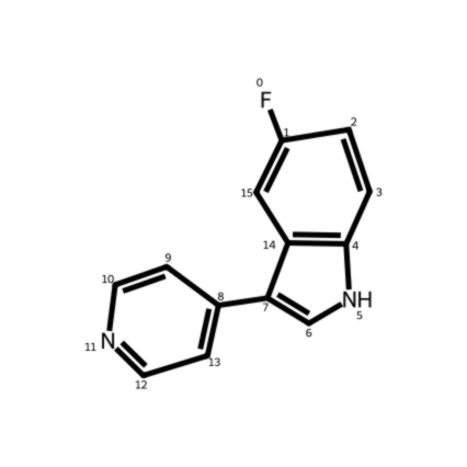 Fc1ccc2[nH]cc(-c3ccncc3)c2c1